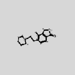 Cc1c(CCN2CC[CH]CC2)ccc2c1COC2=O